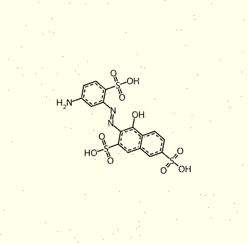 Nc1ccc(S(=O)(=O)O)c(N=Nc2c(S(=O)(=O)O)cc3cc(S(=O)(=O)O)ccc3c2O)c1